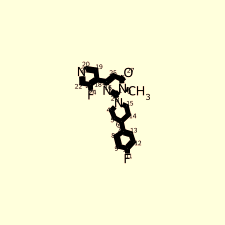 Cn1c(N2CCC(c3ccc(F)cc3)CC2)nc(-c2ccncc2F)cc1=O